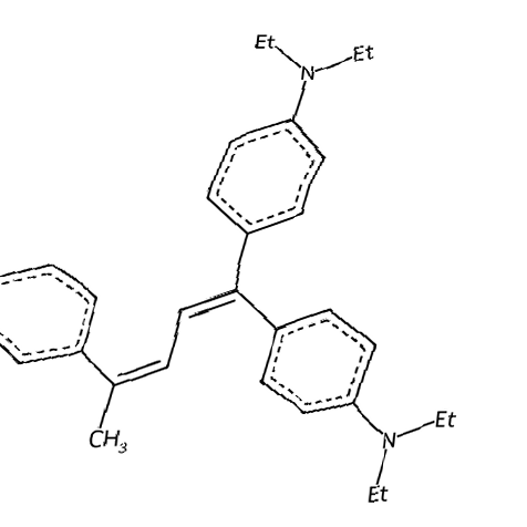 CCN(CC)c1ccc(C(=CC=C(C)c2ccccc2)c2ccc(N(CC)CC)cc2)cc1